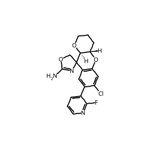 NC1=NC2(CO1)c1cc(-c3cccnc3F)c(Cl)cc1O[C@H]1CCCO[C@@H]12